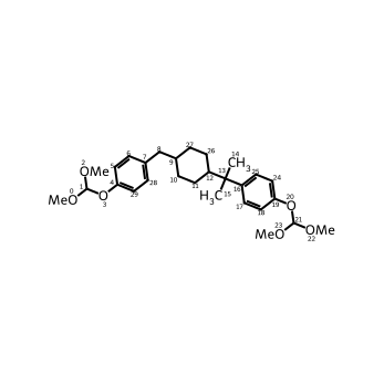 COC(OC)Oc1ccc(CC2CCC(C(C)(C)c3ccc(OC(OC)OC)cc3)CC2)cc1